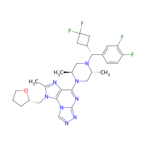 Cc1nc2c(N3C[C@@H](C)N([C@@H](c4ccc(F)c(F)c4)C4CC(F)(F)C4)C[C@@H]3C)nc3nncn3c2n1C[C@@H]1CCCO1